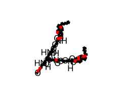 COCCCCCCNC(=O)C[C@H](CCCCNC(=O)COCCOCCNC(=O)OC1CCC2(C)C(=CCC3C2CCC2(C)C(C(C)CCCC(C)C)CCC32)C1)NC(=O)CCCNC(=O)COCCOCCNC(=O)OC1CCC2(C)C(=CCC3C2CCC2(C)C(C(C)CCCC(C)C)CCC32)C1